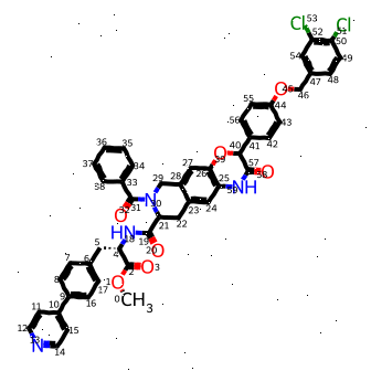 COC(=O)[C@H](Cc1ccc(-c2ccncc2)cc1)NC(=O)C1Cc2cc3c(cc2CN1C(=O)c1ccccc1)OC(c1ccc(OCc2ccc(Cl)c(Cl)c2)cc1)C(=O)N3